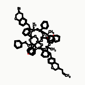 C=CCN1COc2ccc(CC[Si]3(C)O[Si]4(c5ccccc5)O[C@@H](C)[Si]5(c6ccccc6)O[Si](C)(CCc6ccc7c(c6)CN(CC)CO7)O[Si]6(c7ccccc7)OC[Si]7(O[Si](c8ccccc8)(OC7(c7ccccc7)[Si](OSc7ccccc7)(c7ccccc7)O6)O3)O[Si](c3ccccc3)(O4)O5)cc2C1